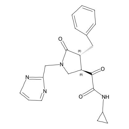 O=C(NC1CC1)C(=O)[C@H]1CN(Cc2ncccn2)C(=O)[C@@H]1Cc1ccccc1